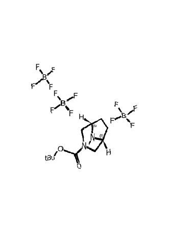 CN1[C@@H]2CC[C@H]1CN(C(=O)OC(C)(C)C)C2.F[B-](F)(F)F.F[B-](F)(F)F.F[B-](F)(F)F